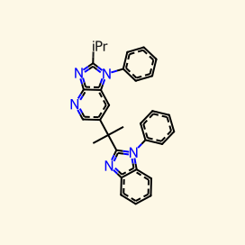 CC(C)c1nc2ncc(C(C)(C)c3nc4ccccc4n3-c3ccccc3)cc2n1-c1ccccc1